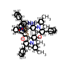 Cc1cc(C)c(N2c3cc4c(cc3B3c5cc6c(cc5Oc5cc(C78CC9CC(CC(C9)C7)C8)cc2c53)N(c2c(C)cc(C)cc2C)c2cc(C35CC7CC(CC(C7)C3)C5)cc3c2B6c2sc5ccccc5c2O3)B2c3sc5ccccc5c3N(c3ccccc3)c3cc(C56CC7CC(CC(C7)C5)C6)cc(c32)N4)c(C)c1